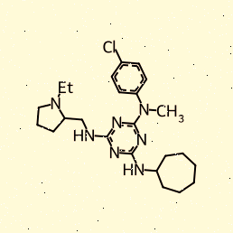 CCN1CCCC1CNc1nc(NC2CCCCCC2)nc(N(C)c2ccc(Cl)cc2)n1